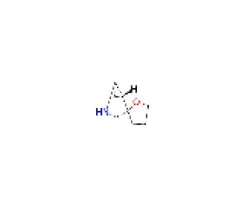 C1COC2(C1)CNC1C[C@@H]12